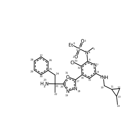 CCS(=O)(=O)N(C)c1nc(NCC2CC2C)cc(-c2nnc(C(C)(N)Cc3ccccc3)o2)c1Cl